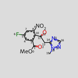 COC(=O)c1cc(F)cc([N+](=O)[O-])c1C(=O)Cc1ncnn1C